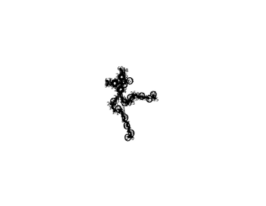 CC(=O)OCCOCCOCCC(C)(C)OC(C)CC(C)(C)OCCN(CCOC(C)(C)C(C)OC(C)(C)CCOCCOC(C)=O)c1ccc(C2(c3ccc(N(C)C)cc3)OC(=O)c3cc(N(C)C)ccc32)cc1